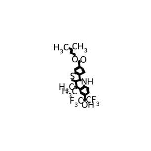 CC(C)=CCOC(=O)c1ccc2c(c1)SCC1C2Nc2ccc(C(O)(C(F)(F)F)C(F)(F)F)cc2C1(C)C